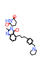 Cc1nc2cccc(CCCc3ccc(CN4CCCCC4)cc3)c2c(=O)n1C1CCC(=O)NC1=O